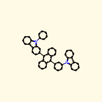 c1ccc(-n2c3ccccc3c3ccc(-c4c5ccccc5c(-c5cccc(-n6c7ccccc7c7ccccc76)c5)c5ccccc45)cc32)cc1